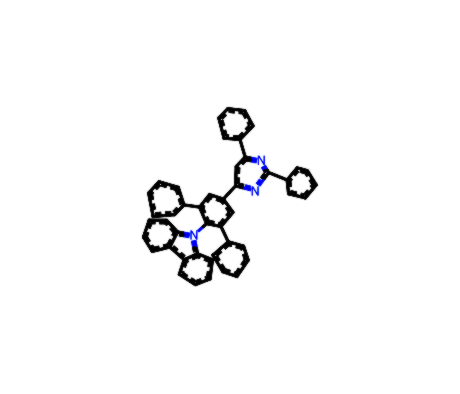 c1ccc(-c2cc(-c3cc(-c4ccccc4)c(-n4c5ccccc5c5ccccc54)c(-c4ccccc4)c3)nc(-c3ccccc3)n2)cc1